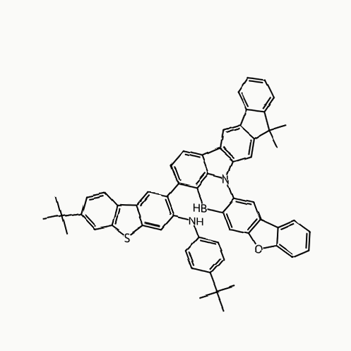 CC(C)(C)c1ccc(Nc2cc3sc4cc(C(C)(C)C)ccc4c3cc2-c2ccc3c4cc5c(cc4n4c3c2Bc2cc3oc6ccccc6c3cc2-4)C(C)(C)c2ccccc2-5)cc1